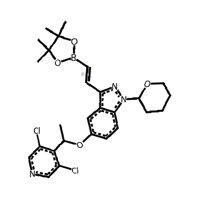 CC(Oc1ccc2c(c1)c(/C=C/B1OC(C)(C)C(C)(C)O1)nn2C1CCCCO1)c1c(Cl)cncc1Cl